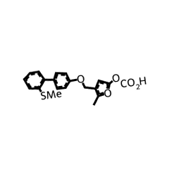 CSc1ccccc1-c1ccc(OCc2cc(OC(=O)O)oc2C)cc1